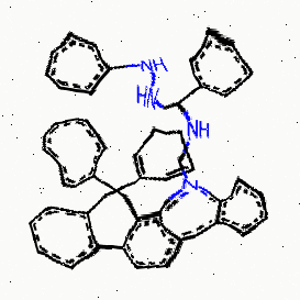 C1=CC(C2(c3ccccc3)c3ccccc3-c3ccc4c5ccccc5n(CNC(NNc5ccccc5)c5ccccc5)c4c32)=CCC1